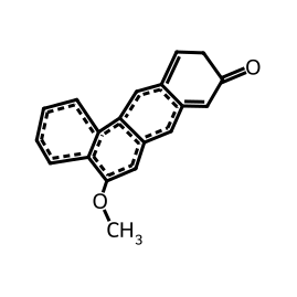 COc1cc2cc3c(cc2c2ccccc12)=CCC(=O)C=3